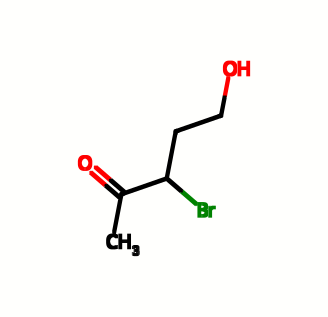 CC(=O)C(Br)CCO